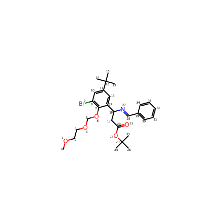 COCCOCOc1c(Br)cc(C(C)(C)C)cc1C(CC(=O)OC(C)(C)C)N=Cc1ccccc1